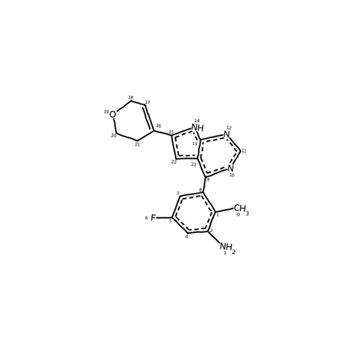 Cc1c(N)cc(F)cc1-c1ncnc2[nH]c(C3=CCOCC3)cc12